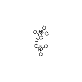 c1ccc(-c2cc(-c3ccccc3)nc(-c3cccc(-c4cccc(-c5cccc6c5cc(-c5ccccc5)n5nc(-c7ccccc7)c(-c7ccccc7)c65)c4)c3)n2)cc1